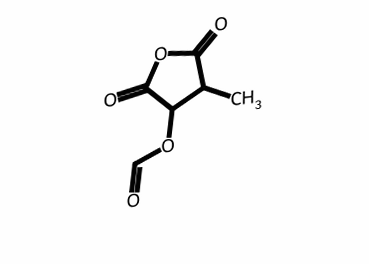 CC1C(=O)OC(=O)C1OC=O